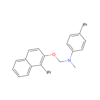 CC(C)c1ccc(N(C)COc2ccc3ccccc3c2C(C)C)cc1